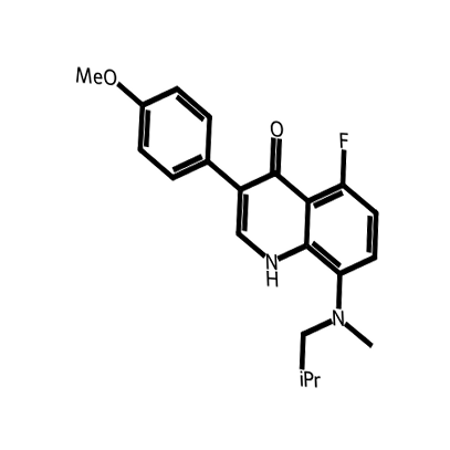 COc1ccc(-c2c[nH]c3c(N(C)CC(C)C)ccc(F)c3c2=O)cc1